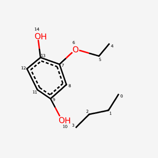 CCCC.CCOc1cc(O)ccc1O